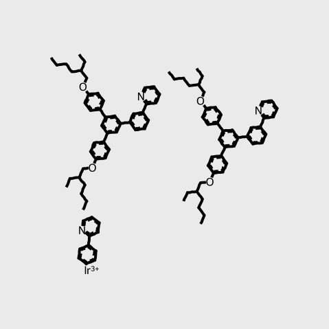 CCCCC(CC)COc1ccc(-c2cc(-c3ccc(OCC(CC)CCCC)cc3)cc(-c3cccc(-c4ccccn4)c3)c2)cc1.CCCCC(CC)COc1ccc(-c2cc(-c3ccc(OCC(CC)CCCC)cc3)cc(-c3cccc(-c4ccccn4)c3)c2)cc1.[Ir+3].c1ccc(-c2ccccn2)cc1